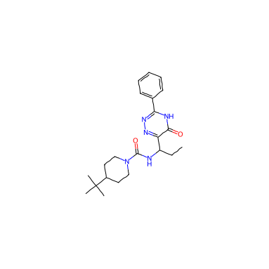 CCC(NC(=O)N1CCC(C(C)(C)C)CC1)c1nnc(-c2ccccc2)[nH]c1=O